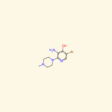 CN1CCN(c2ncc(Br)c(O)c2N)CC1